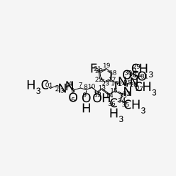 CCC/N=N/C(=O)C[C@H](O)C[C@H](O)/C=C/c1c(-c2ccc(F)cc2)nc(N(C)S(C)(=O)=O)nc1C(C)C